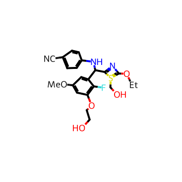 CCOC1=S(CO)C(C(Nc2ccc(C#N)cc2)c2cc(OC)cc(OCCO)c2F)=N1